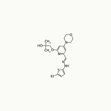 CCc1ccc(NN=Cc2cc(N3CCOCC3)cc(OCC(C)(C)O)n2)s1